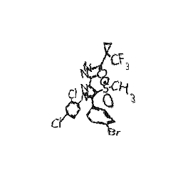 CS(=O)(=O)c1c(-c2nnc(C3(C(F)(F)F)CC3)o2)nn(-c2ccc(Cl)cc2Cl)c1-c1ccc(Br)cc1